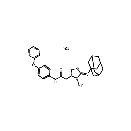 CCCN1C(=NC23CC4CC(CC(C4)C2)C3)SCC1CC(=O)Nc1ccc(Oc2ccccc2)cc1.Cl